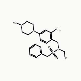 CC(=O)N1CCN(c2ccc(CN(CC(C)C)S(=O)(=O)Cc3ccccc3)c(C)c2)CC1